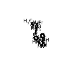 Cc1cc(C)n(C(C(=O)NCCCOc2ccc(Nc3nc(NC4CCCCC4)c4nc[nH]c4n3)c(C)c2)C(C)C)n1